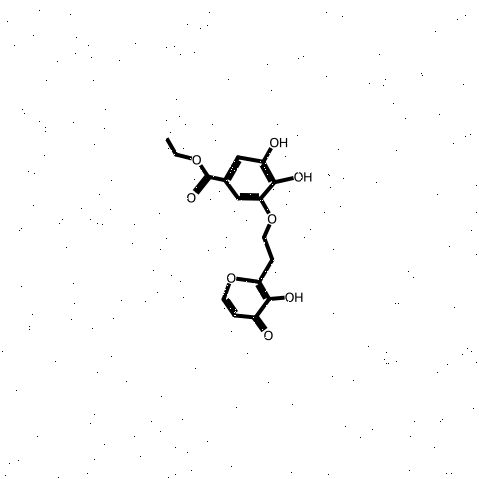 CCOC(=O)c1cc(O)c(O)c(OCCc2occc(=O)c2O)c1